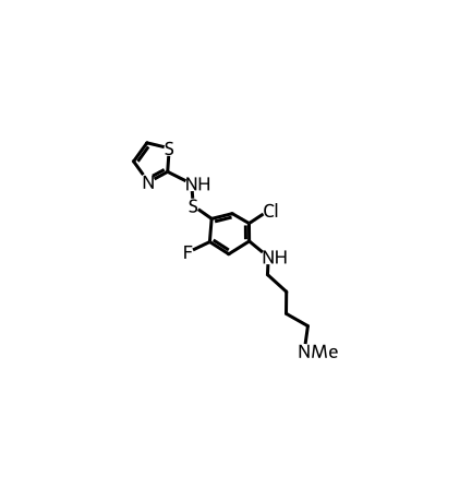 CNCCCCNc1cc(F)c(SNc2nccs2)cc1Cl